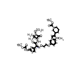 C[n+]1c(C2CCCN(C(=O)OC(C)(C)C)C2)cn2cc(OCCO/N=C(\C(=O)N[C@@H]3C(=O)N(OS(=O)(=O)O)C3(C)C)c3csc(NC(=O)OC(C)(C)C)n3)ccc21